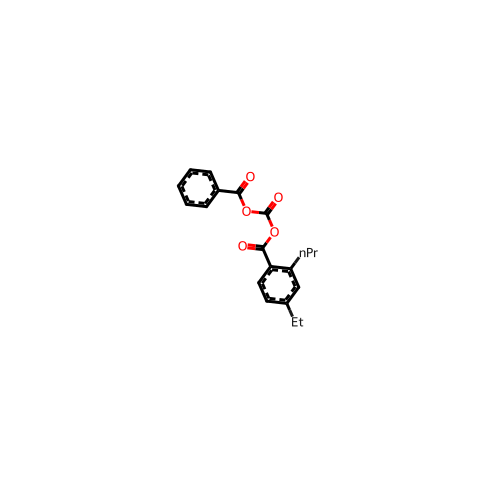 CCCc1cc(CC)ccc1C(=O)OC(=O)OC(=O)c1ccccc1